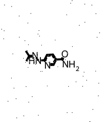 CC(C)=NNc1ccc(C(N)=O)cn1